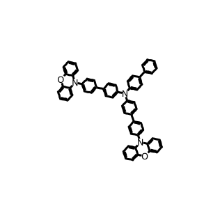 c1ccc(-c2ccc(N(c3ccc(-c4ccc(N5c6ccccc6Oc6ccccc65)cc4)cc3)c3ccc(-c4ccc(N5c6ccccc6Oc6ccccc65)cc4)cc3)cc2)cc1